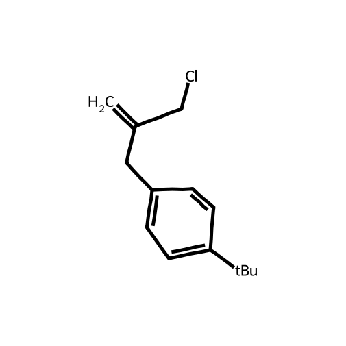 C=C(CCl)Cc1ccc(C(C)(C)C)cc1